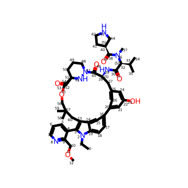 CCn1c(-c2cccnc2COC)c2c3cc(ccc31)-c1cc(O)cc(c1)C[C@H](NC(=O)[C@H](C(C)C)N(C)C(=O)[C@H]1CCNC1)C(=O)N1CCCC(C=O)(COCC(C)(C)C2)N1